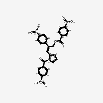 O=C(OC/C(=C\c1nccn1C(=O)c1ccc([N+](=O)[O-])cc1)c1ccc([N+](=O)[O-])cc1)c1ccc([N+](=O)[O-])cc1